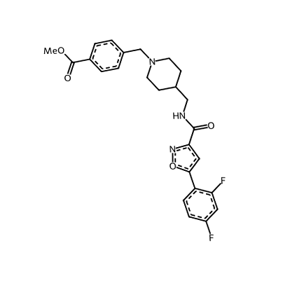 COC(=O)c1ccc(CN2CCC(CNC(=O)c3cc(-c4ccc(F)cc4F)on3)CC2)cc1